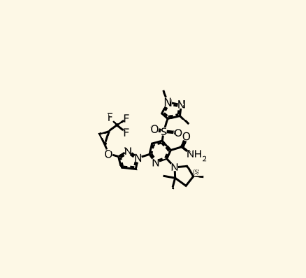 Cc1nn(C)cc1S(=O)(=O)c1cc(-n2ccc(OC3CC3C(F)(F)F)n2)nc(N2C[C@@H](C)CC2(C)C)c1C(N)=O